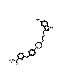 N#Cc1ccc2[nH]cc(CCCCN3CCN(c4ccc(Sc5nccc(C(N)=O)n5)cc4)CC3)c2c1